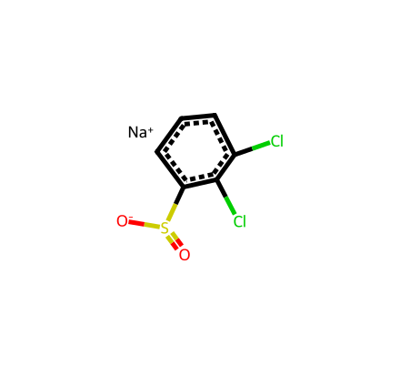 O=S([O-])c1cccc(Cl)c1Cl.[Na+]